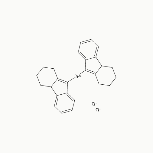 [Cl-].[Cl-].c1ccc2c(c1)[C]([Ti+2][C]1=C3CCCCC3c3ccccc31)=C1CCCCC12